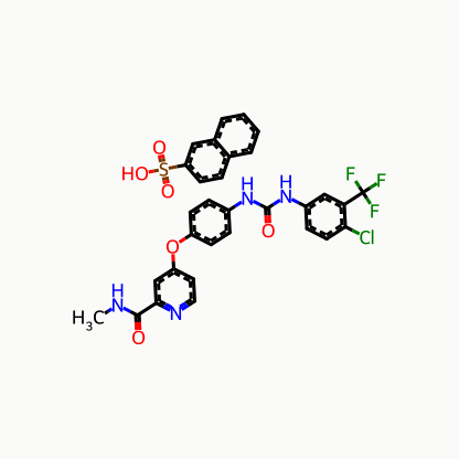 CNC(=O)c1cc(Oc2ccc(NC(=O)Nc3ccc(Cl)c(C(F)(F)F)c3)cc2)ccn1.O=S(=O)(O)c1ccc2ccccc2c1